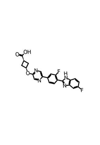 O=C(O)[C@H]1C[C@@H](Oc2cnc(-c3ccc(-c4nc5cc(F)ccc5[nH]4)c(F)c3)cn2)C1